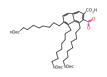 CCCCCCCCCCCCCCCCCCc1ccc2cc(C(=O)O)c(I(=O)=O)c(CCCCCCCCCCCCCCCCCC)c2c1CCCCCCCCCCCCCCCCCC